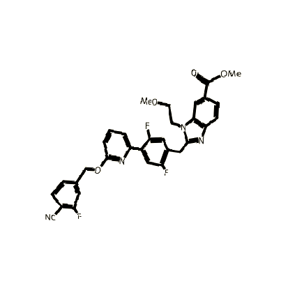 COCCn1c(Cc2cc(F)c(-c3cccc(OCc4ccc(C#N)c(F)c4)n3)cc2F)nc2ccc(C(=O)OC)cc21